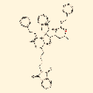 CNC(=O)[C@@](Cc1ccccc1)(C(=O)[C@H](CC(C)C)NC(=O)OCc1ccccc1)N(C(=O)OCc1ccccc1)C(=O)C(CCCCN1C(=O)c2ccccc2C1=O)SC(C)=O